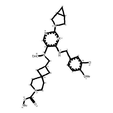 COc1ccc(CNc2nc(N3CC4CC4C3)ncc2N(C=O)CC2CC3(CCN(C(=O)OC(C)(C)C)CC3)C2)cc1Cl